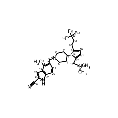 Cc1c(CN2CCC(n3c(CCC(F)(F)F)ccc3CN(C)C)CC2)ccc2[nH]c(C#N)cc12